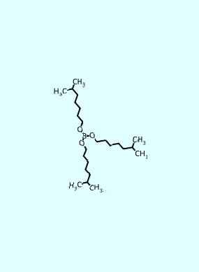 CC(C)CCCCCOB(OCCCCCC(C)C)OCCCCCC(C)C